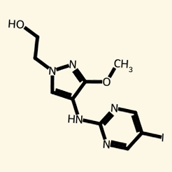 COc1nn(CCO)cc1Nc1ncc(I)cn1